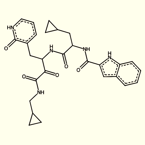 O=C(NCC1CC1)C(=O)C(Cc1ccc[nH]c1=O)NC(=O)C(CC1CC1)NC(=O)c1cc2ccccc2[nH]1